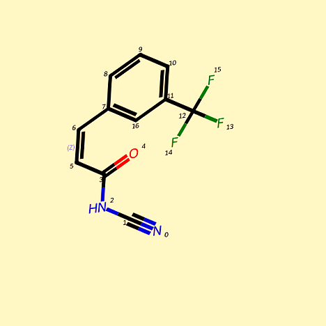 N#CNC(=O)/C=C\c1cccc(C(F)(F)F)c1